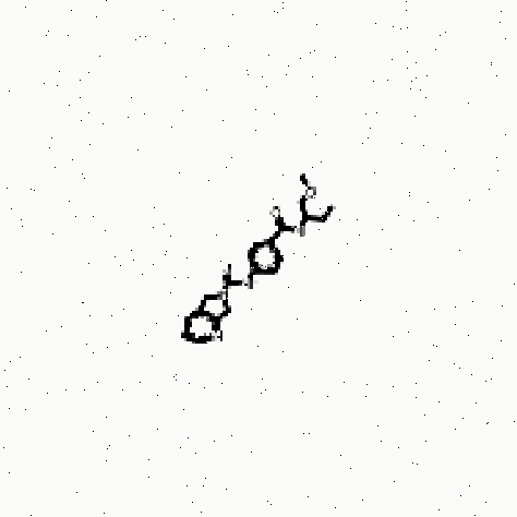 CCC(COC)NC(=O)c1ccc(NC(=O)N2Cc3cccnc3C2)cc1